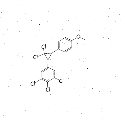 COc1ccc(C2C(c3cc(Cl)c(Cl)c(Cl)c3)C2(Cl)Cl)cc1